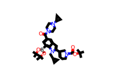 CC(C)(C)OC(=O)N1CCC=C(c2cc3cc(C(=O)N4CCN(C5CC5)CC4)cc(B4OC(C)(C)C(C)(C)O4)c3n2CC2CC2)C1